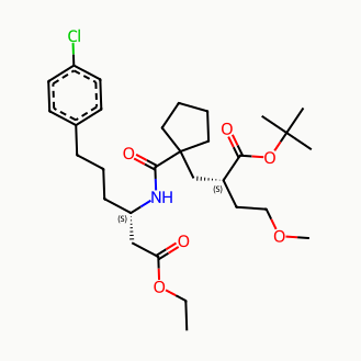 CCOC(=O)C[C@H](CCCc1ccc(Cl)cc1)NC(=O)C1(C[C@@H](CCOC)C(=O)OC(C)(C)C)CCCC1